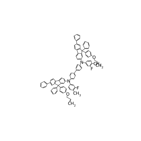 C=CCOc1ccc(C2(c3ccccc3)c3cc(-c4ccccc4)ccc3-c3ccc(N(c4ccc(-c5ccc(N(c6ccc(C)c(F)c6)c6ccc7c(c6)C(c6ccccc6)(c6ccc(OCC=C)cc6)c6cc(-c8ccccc8)ccc6-7)cc5)cc4)c4ccc(C)c(F)c4)cc32)cc1